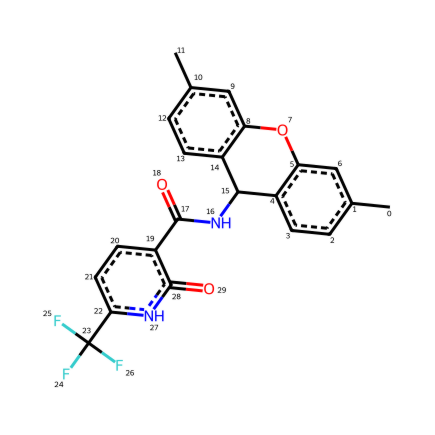 Cc1ccc2c(c1)Oc1cc(C)ccc1C2NC(=O)c1ccc(C(F)(F)F)[nH]c1=O